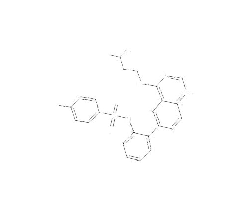 Cc1ccc(S(=O)(=O)Nc2ccccc2-c2ccc3ncnc(NCCC(C)C)c3c2)cc1